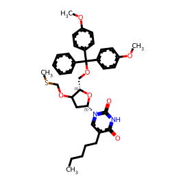 CCCCCc1cn([C@@H]2CC(OCSC)[C@H](COC(c3ccccc3)(c3ccc(OC)cc3)c3ccc(OC)cc3)O2)c(=O)[nH]c1=O